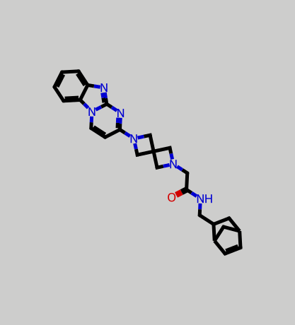 O=C(CN1CC2(C1)CN(c1ccn3c(n1)nc1ccccc13)C2)NCC1CC2C=CC1C2